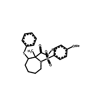 COc1ccc(S(=O)(=O)N2CCCCC(Sc3ccccc3)C2(C)C(=O)OC(C)(C)C)cc1